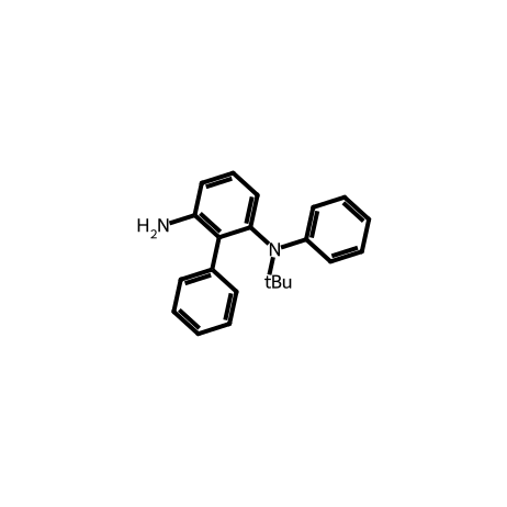 CC(C)(C)N(c1ccccc1)c1cccc(N)c1-c1ccccc1